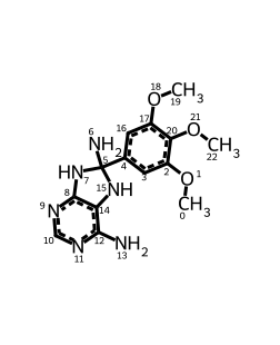 COc1cc(C2(N)Nc3ncnc(N)c3N2)cc(OC)c1OC